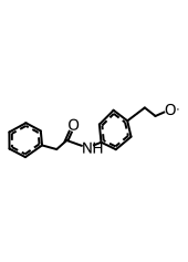 [O]CCc1ccc(NC(=O)Cc2ccccc2)cc1